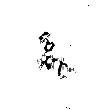 NC[C@@H](CO)Nc1ncc(C(N)=O)c(Nc2cccc(-n3nccn3)c2)n1